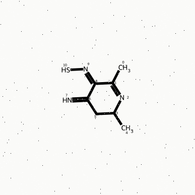 CC1=NC(C)CC(=N)/C1=N\S